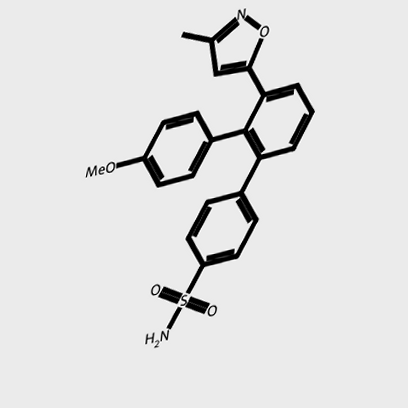 COc1ccc(-c2c(-c3ccc(S(N)(=O)=O)cc3)cccc2-c2cc(C)no2)cc1